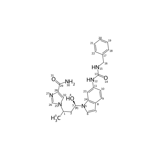 CC(C[C@@H](O)n1ccc2ccc(NC(=O)NCc3ccccc3)cc21)n1cnc(C(N)=O)c1